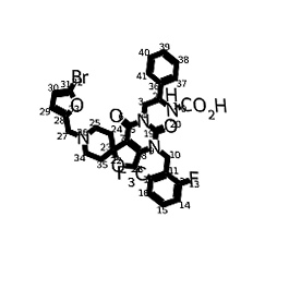 O=C(O)NC(Cn1c(=O)c2c(n(Cc3c(F)cccc3C(F)(F)F)c1=O)COC21CCN(Cc2ccc(Br)o2)CC1)c1ccccc1